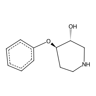 O[C@@H]1CNCC[C@H]1Oc1ccccc1